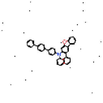 c1ccc(-c2ccc(-c3ccc(N(c4ccccc4)c4cc5oc6ccccc6c5cc4-c4ccccc4)cc3)cc2)cc1